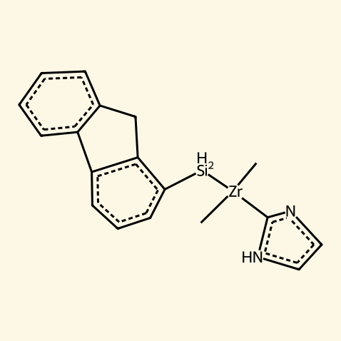 [CH3][Zr]([CH3])([SiH2]c1cccc2c1Cc1ccccc1-2)[c]1ncc[nH]1